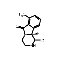 CCC1NCCN2C(=O)c3c(cccc3C(F)(F)F)[C@H]12